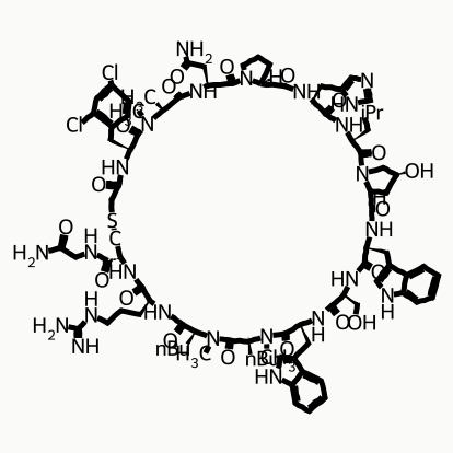 CCCC[C@H]1C(=O)N(C)[C@@H](CCCC)C(=O)N[C@@H](CCCNC(=N)N)C(=O)N[C@H](C(=O)NCC(N)=O)CSCC(=O)N[C@@H](Cc2ccc(Cl)cc2Cl)C(=O)N(C)[C@@H](C)C(=O)N[C@@H](CC(N)=O)C(=O)N2CCC[C@H]2C(=O)N[C@@H](Cc2cnc[nH]2)C(=O)N[C@@H](CC(C)C)C(=O)N2C[C@H](O)C[C@H]2C(=O)N[C@@H](Cc2c[nH]c3ccccc23)C(=O)N[C@@H](CO)C(=O)N[C@@H](Cc2c[nH]c3ccccc23)C(=O)N1C